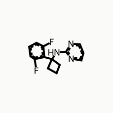 Fc1cccc(F)c1C1(Nc2ncccn2)CCC1